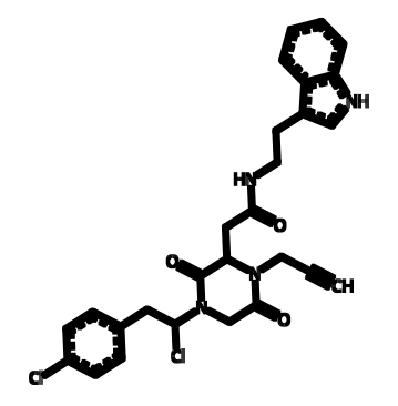 C#CCN1C(=O)CN(C(Cl)Cc2ccc(Cl)cc2)C(=O)C1CC(=O)NCCc1c[nH]c2ccccc12